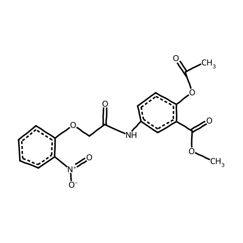 COC(=O)c1cc(NC(=O)COc2ccccc2[N+](=O)[O-])ccc1OC(C)=O